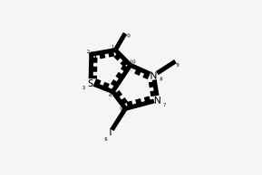 Cc1csc2c(I)nn(C)c12